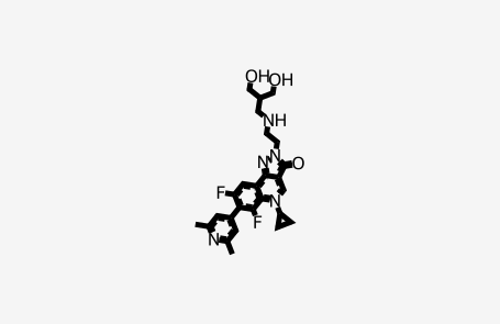 Cc1cc(-c2c(F)cc3c4nn(CCNCC(CO)CO)c(=O)c-4cn(C4CC4)c3c2F)cc(C)n1